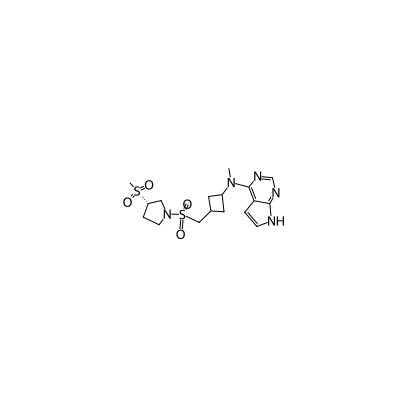 CN(c1ncnc2[nH]ccc12)C1CC(CS(=O)(=O)N2CC[C@H](S(C)(=O)=O)C2)C1